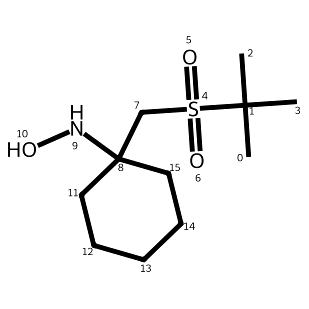 CC(C)(C)S(=O)(=O)CC1(NO)CCCCC1